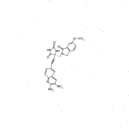 COc1ccc2c(c1)C(=O)N(C[C@@]1(C#Cc3ccc4nc(N)c(N)cc4c3)NC(=O)NC1=O)C2